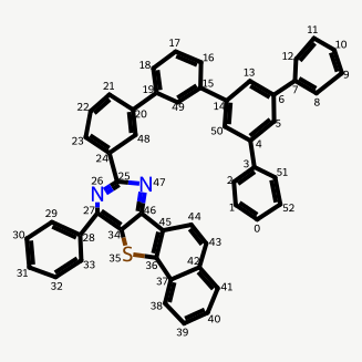 c1ccc(-c2cc(-c3ccccc3)cc(-c3cccc(-c4cccc(-c5nc(-c6ccccc6)c6sc7c8ccccc8ccc7c6n5)c4)c3)c2)cc1